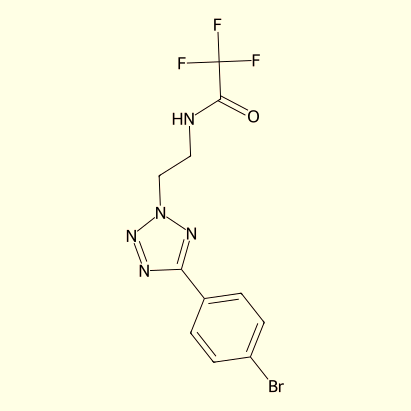 O=C(NCCn1nnc(-c2ccc(Br)cc2)n1)C(F)(F)F